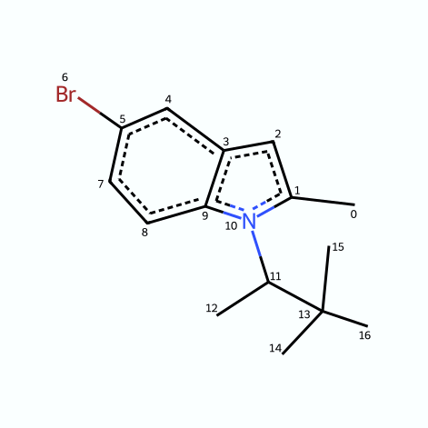 Cc1cc2cc(Br)ccc2n1C(C)C(C)(C)C